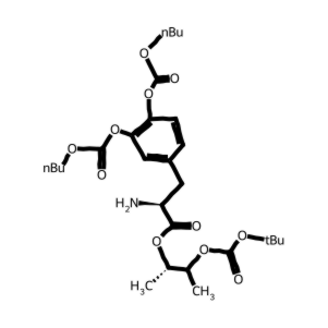 CCCCOC(=O)Oc1ccc(C[C@H](N)C(=O)O[C@@H](C)C(C)OC(=O)OC(C)(C)C)cc1OC(=O)OCCCC